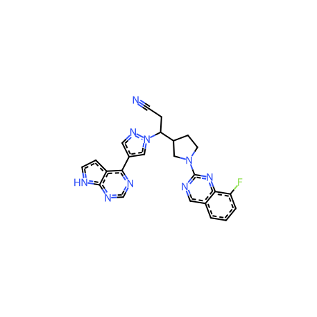 N#CCC(C1CCN(c2ncc3cccc(F)c3n2)C1)n1cc(-c2ncnc3[nH]ccc23)cn1